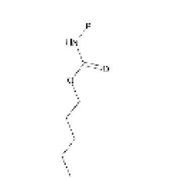 CCCCCOC(=O)NF